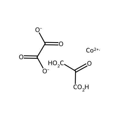 O=C(O)C(=O)C(=O)O.O=C([O-])C(=O)[O-].[Co+2]